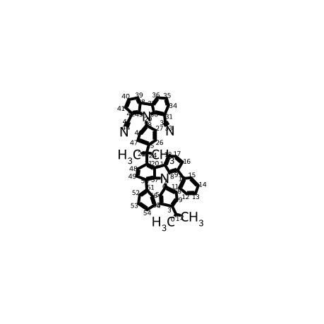 CC(C)c1ccc(-n2c3c(-c4ccccc4)cccc3c3c(C(C)(C)c4ccc(-n5c6c(C#N)cccc6c6cccc(C#N)c65)cc4)ccc(-c4ccccc4)c32)cc1